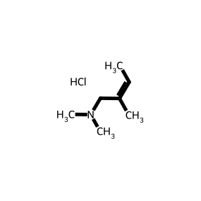 CC=C(C)CN(C)C.Cl